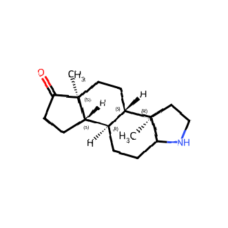 C[C@]12CCNC1CC[C@@H]1[C@@H]2CC[C@]2(C)C(=O)CC[C@@H]12